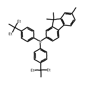 CCC(C)(CC)c1ccc(N(c2ccc(C(C)(CC)CC)cc2)c2ccc3c(c2)C(C)(C)c2cc(C)ccc2-3)cc1